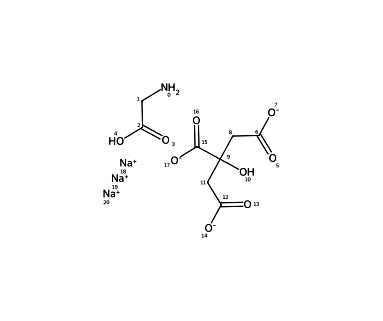 NCC(=O)O.O=C([O-])CC(O)(CC(=O)[O-])C(=O)[O-].[Na+].[Na+].[Na+]